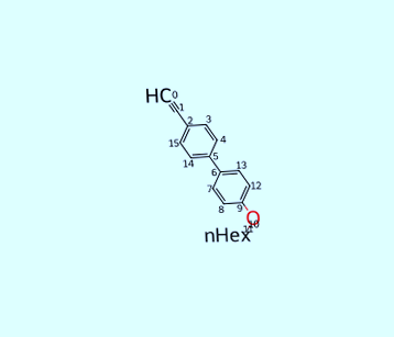 C#Cc1ccc(-c2ccc(OCCCCCC)cc2)cc1